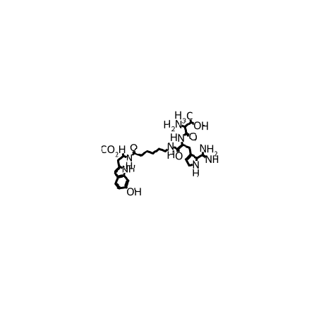 CC(O)C(N)C(=O)NC(CC1=CCNC1C(=N)N)C(=O)NCCCCCC(=O)NC(Cc1cc2ccc(O)cc2[nH]1)C(=O)O